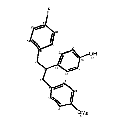 COc1ccc([CH]C(Cc2ccc(F)cc2)c2ccc(O)cc2)cc1